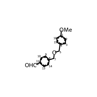 COc1ccc(COCc2ccc(C=O)cc2)cc1